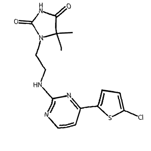 CC1(C)C(=O)NC(=O)N1CCNc1nccc(-c2ccc(Cl)s2)n1